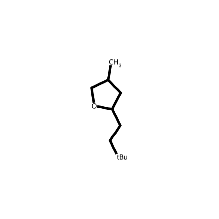 CC1COC(CCC(C)(C)C)C1